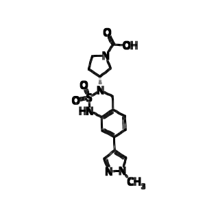 Cn1cc(-c2ccc3c(c2)NS(=O)(=O)N([C@@H]2CCN(C(=O)O)C2)C3)cn1